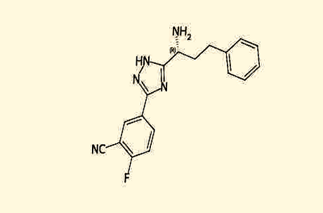 N#Cc1cc(-c2n[nH]c([C@H](N)CCc3ccccc3)n2)ccc1F